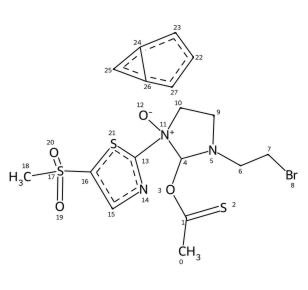 CC(=S)OC1N(CCBr)CC[N+]1([O-])c1ncc(S(C)(=O)=O)s1.c1cc2cc-2c1